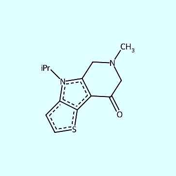 CC(C)n1c2c(c3sccc31)C(=O)CN(C)C2